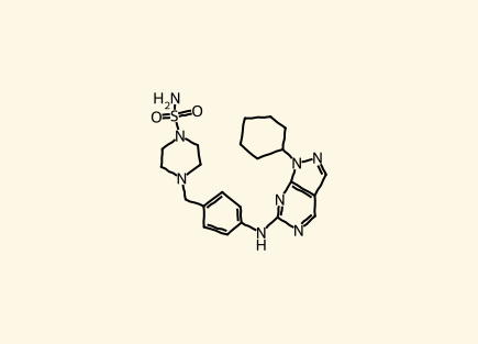 NS(=O)(=O)N1CCN(Cc2ccc(Nc3ncc4cnn(C5CCCCC5)c4n3)cc2)CC1